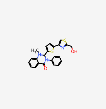 CN1c2ccccc2C(=O)N(c2ccccc2)C1c1ccc(-c2csc(CO)n2)s1